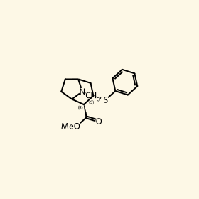 COC(=O)[C@H]1C2CCC(C[C@@H]1Sc1ccccc1)N2C